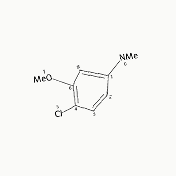 CNc1ccc(Cl)c(OC)c1